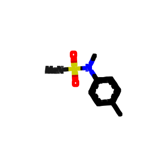 CNS(=O)(=O)N(C)c1ccc(C)cc1